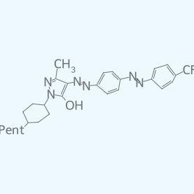 CCCCCC1CCC(n2nc(C)c(/N=N/c3ccc(/N=N/c4ccc(C(F)(F)F)cc4)cc3)c2O)CC1